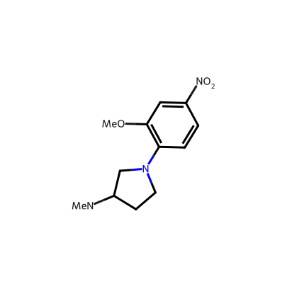 CNC1CCN(c2ccc([N+](=O)[O-])cc2OC)C1